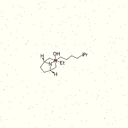 CCC(O)N1[C@@H]2CC[C@H]1CN(CCCCC(C)C)C2